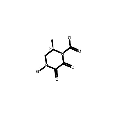 CCN1C[C@@H](C)N(C(=O)Cl)C(=O)C1=O